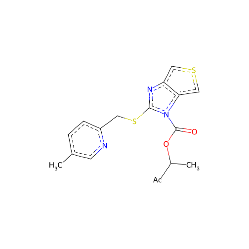 CC(=O)C(C)OC(=O)n1c(SCc2ccc(C)cn2)nc2cscc21